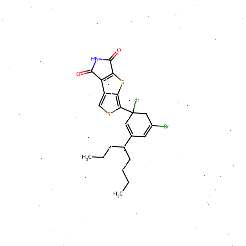 CCCCC(CCC)C1=CC(Br)(c2scc3c4c(sc23)C(=O)NC4=O)CC(Br)=C1